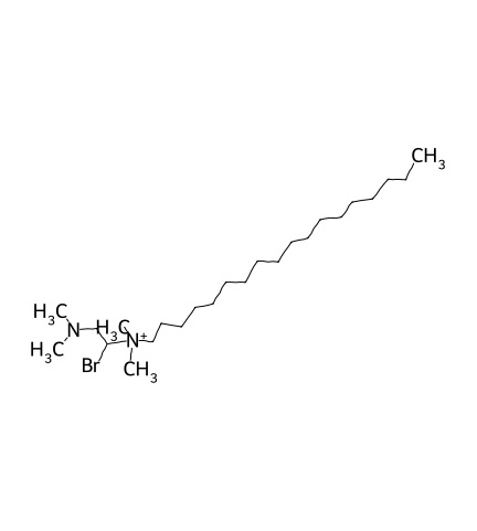 CCCCCCCCCCCCCCCCCC[N+](C)(C)C(Br)CN(C)C